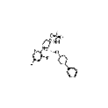 CS(=O)(=O)N[C@H]1CCN(c2ncc(F)cc2F)[C@H]1COC1CCC(c2ccccc2)CC1